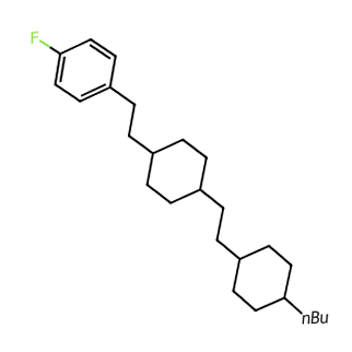 CCCCC1CCC(CCC2CCC(CCc3ccc(F)cc3)CC2)CC1